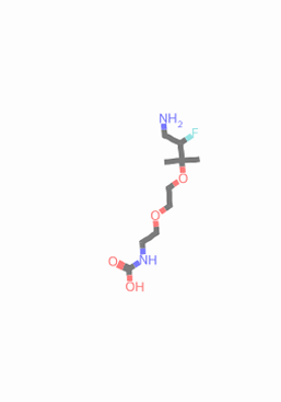 CC(C)(OCCOCCNC(=O)O)C(F)CN